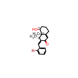 C[C@H]1C(=Cc2ccccc2Br)C(=O)C=C2CCC[C@H](O)[C@]21C